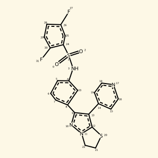 O=S(=O)(Nc1cccc(-c2nn3c(c2-c2ccncc2)SCC3)c1)c1cc(F)ccc1F